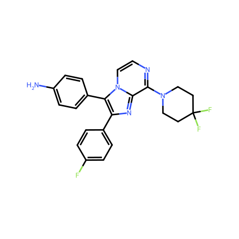 Nc1ccc(-c2c(-c3ccc(F)cc3)nc3c(N4CCC(F)(F)CC4)nccn23)cc1